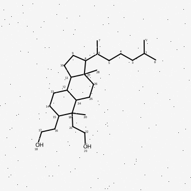 CC(C)CCCC(C)C1CCC2C3CCC(CCO)C(C)(CCO)C3CCC12C